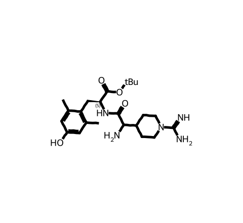 Cc1cc(O)cc(C)c1C[C@H](NC(=O)C(N)C1CCN(C(=N)N)CC1)C(=O)OC(C)(C)C